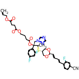 C=CCOC(=O)CCC(=O)OCCCC(=O)O[C@@](Cn1cncn1)(c1ccc(F)cc1F)[C@@H](C)S[C@H]1CO[C@H](/C=C/C=C/c2ccc(C#N)cc2F)OC1